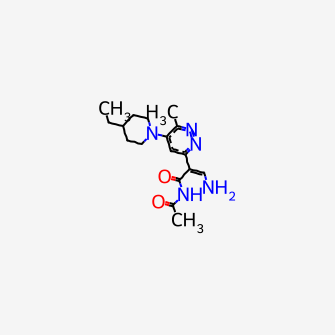 CCC1CCN(c2cc(/C(=C/N)C(=O)NC(C)=O)nnc2C)CC1